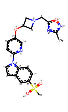 CC(C)c1noc(CN2CC(Oc3ccc(-n4ccc5cc(S(C)(=O)=O)ccc54)nc3)C2)n1